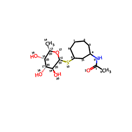 CC(=O)NC1CCCCC(S[C@@H]2O[C@@H](C)[C@@H](O)[C@@H](O)[C@@H]2O)C1